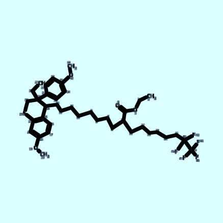 CCOC(=O)C(CCCCCCCCC1c2ccc(OC)cc2SCC1(CC)c1ccc(OC)cc1)CCCCCCC(F)(F)C(F)(F)F